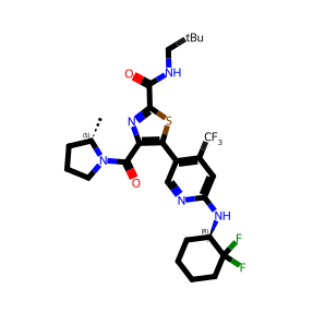 C[C@H]1CCCN1C(=O)c1nc(C(=O)NCC(C)(C)C)sc1-c1cnc(N[C@@H]2CCCCC2(F)F)cc1C(F)(F)F